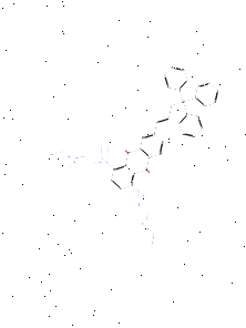 O=C1c2c(O)cc(/C=C/CC(c3ccccc3)(c3ccccc3)c3ccccc3)c(O)c2C(=O)c2c(NCCN(O)CCO)ccc(NCCNCCO)c21